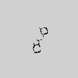 Cc1cccc(Sc2n[nH]c3cccnc23)c1